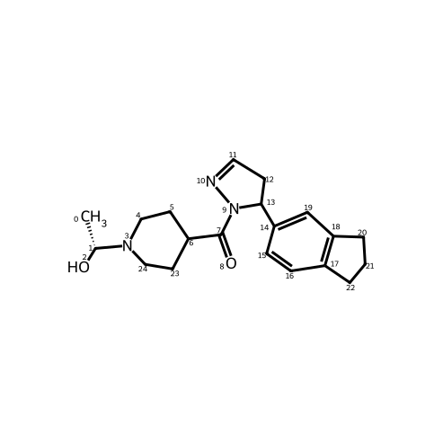 C[C@@H](O)N1CCC(C(=O)N2N=CCC2c2ccc3c(c2)CCC3)CC1